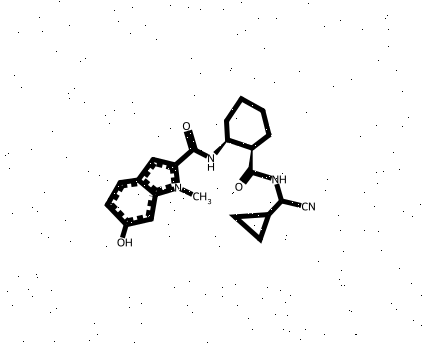 Cn1c(C(=O)N[C@H]2CCCC[C@H]2C(=O)NC(C#N)C2CC2)cc2ccc(O)cc21